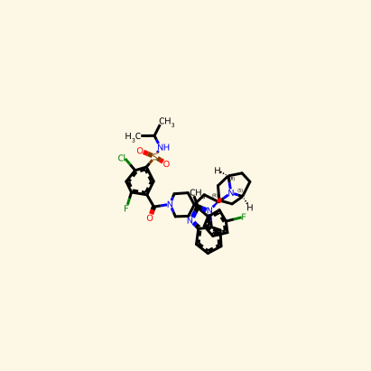 Cc1nc2ccccc2n1[C@H]1C[C@H]2CC[C@@H](C1)N2CCC1(c2cccc(F)c2)CCN(C(=O)c2cc(S(=O)(=O)NC(C)C)c(Cl)cc2F)CC1